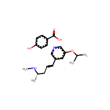 CN[C@@H](C)CC=Cc1cncc(OC(C)C)c1.O=C(O)c1ccc(O)cc1